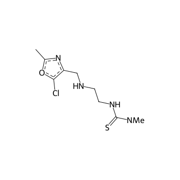 CNC(=S)NCCNCc1nc(C)oc1Cl